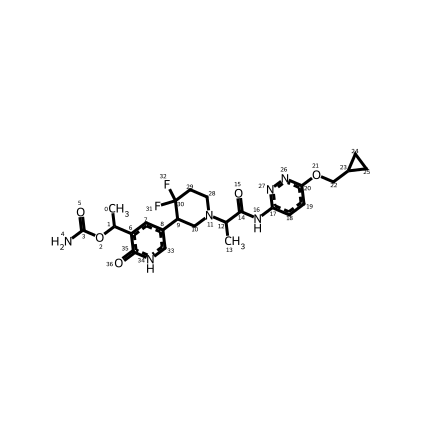 CC(OC(N)=O)c1cc(C2CN(C(C)C(=O)Nc3ccc(OCC4CC4)nn3)CCC2(F)F)c[nH]c1=O